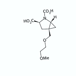 COCCOC[C@@]12C[C@@H](C(=O)O)N(C(=O)O)[C@@H]1C2